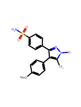 CCn1nc(-c2ccc(S(N)(=O)=O)cc2)c(-c2ccc(OC)cc2)c1C(F)(F)F